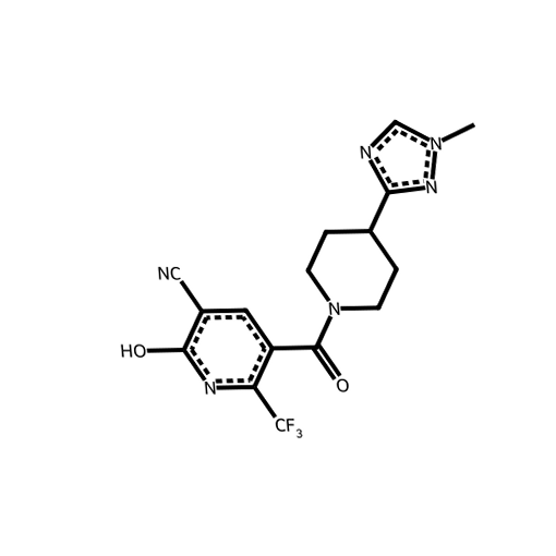 Cn1cnc(C2CCN(C(=O)c3cc(C#N)c(O)nc3C(F)(F)F)CC2)n1